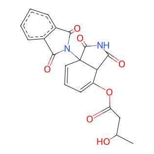 CC(O)CC(=O)OC1=CC=CC2(N3C(=O)c4ccccc4C3=O)C(=O)NC(=O)C12